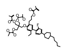 C=C(C)C(=O)OCCCc1cc(-c2ccc(C3CCC(CCCCC)CC3)cc2F)c(CC)cc1OCC(COC(=O)C(=C)C)(COC(=O)C(C)=O)COC(=O)C(C)=O